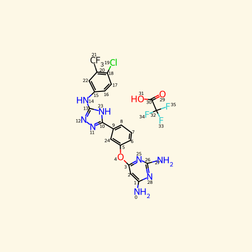 Nc1cc(Oc2cccc(-c3nnc(Nc4ccc(Cl)c(C(F)(F)F)c4)[nH]3)c2)nc(N)n1.O=C(O)C(F)(F)F